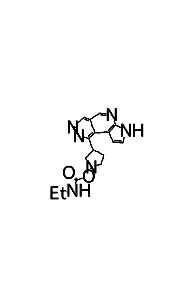 CCNC(=O)ON1CCC(c2nncc3cnc4[nH]ccc4c23)C1